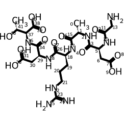 C[C@H](NC(=O)[C@H](CC(=O)O)NC(=O)CN)C(=O)N[C@@H](CCCNC(=N)N)C(=O)N[C@@H](CC(=O)O)C(=O)N[C@H](C(=O)O)[C@@H](C)O